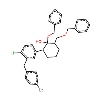 CCc1ccc(Cc2cc(C3CCCC(COCc4ccccc4)C3(O)OCc3ccccc3)ccc2Cl)cc1